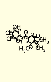 COc1cc(C(=O)c2coc3c(Cl)c(Cl)c(O)cc23)cc(OC)c1OC